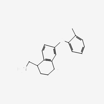 Cc1ccccc1Oc1ccc2c(c1)CCCC2CN